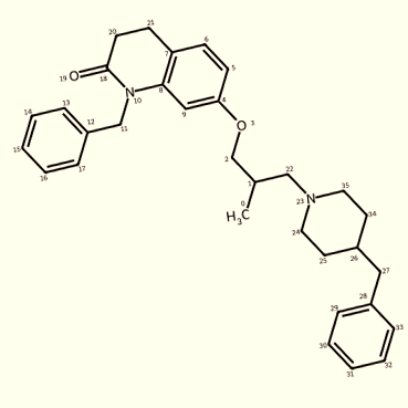 CC(COc1ccc2c(c1)N(Cc1ccccc1)C(=O)CC2)CN1CCC(Cc2ccccc2)CC1